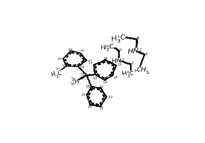 CCNCC.CCNCC.[2H]C(c1ccccc1)(c1ccccc1)c1ccccc1C